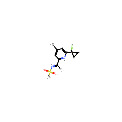 C/C(=N\S(=O)(=O)C(C)(C)C)c1cc([N+](=O)[O-])cc(C2(F)CC2)n1